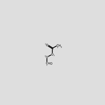 CC(=O)OOC=O